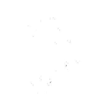 CNc1nc(Nc2cnn([C@H]3CC[C@@H](n4ccnn4)C3)c2C)ncc1C(F)(F)F